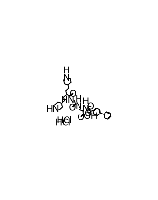 Cl.Cl.O=C(CNC(=O)C(CCC1CCNCC1)CCC1CCNCC1)NCC(NS(=O)(=O)c1ccc(-c2ccccc2)cc1)C(=O)O